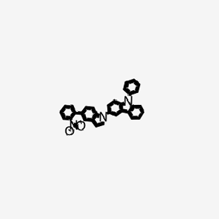 O=[N+]([O-])c1ccccc1-c1ccc2c(ccn2-c2ccc3c(c2)c2ccccc2n3-c2ccccc2)c1